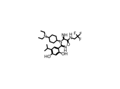 CCN(CC)C1CCC(N(C(=N)C(=O)NCC(F)(F)F)C(=N)c2cc(C(C)C)c(O)cc2O)CC1